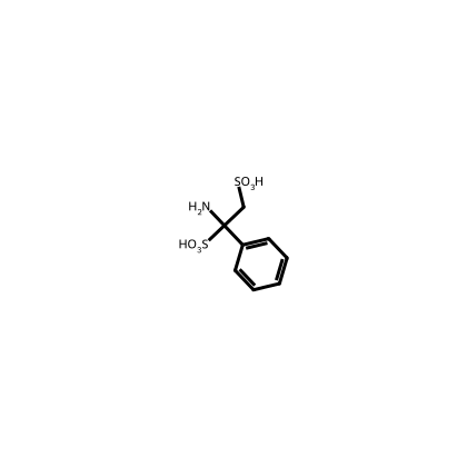 NC(CS(=O)(=O)O)(c1ccccc1)S(=O)(=O)O